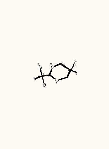 CCC1(C)COC(C(C)(CC)CC)OC1